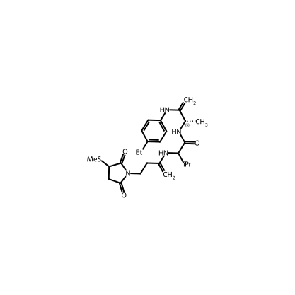 C=C(CCN1C(=O)CC(SC)C1=O)NC(C(=O)N[C@@H](C)C(=C)Nc1ccc(CC)cc1)C(C)C